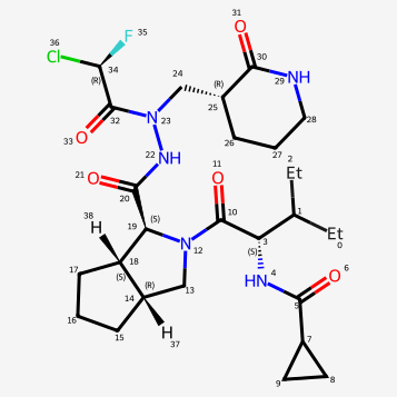 CCC(CC)[C@H](NC(=O)C1CC1)C(=O)N1C[C@@H]2CCC[C@@H]2[C@H]1C(=O)NN(C[C@H]1CCCNC1=O)C(=O)[C@H](F)Cl